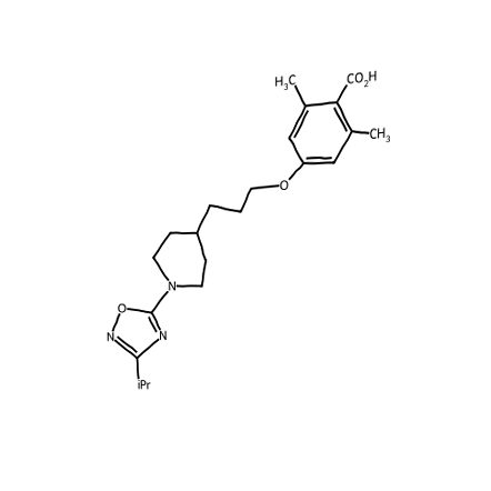 Cc1cc(OCCCC2CCN(c3nc(C(C)C)no3)CC2)cc(C)c1C(=O)O